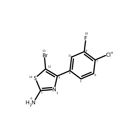 Nc1nc(-c2ccc(Cl)c(F)c2)c(Br)s1